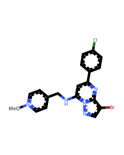 CO[n+]1ccc(CNc2cc(-c3ccc(Cl)cc3)nc3c(Br)cnn23)cc1